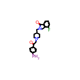 O=C(CN1CCC(CN2Cc3c(F)cccc3C2=O)CC1)c1ccc(P)cc1